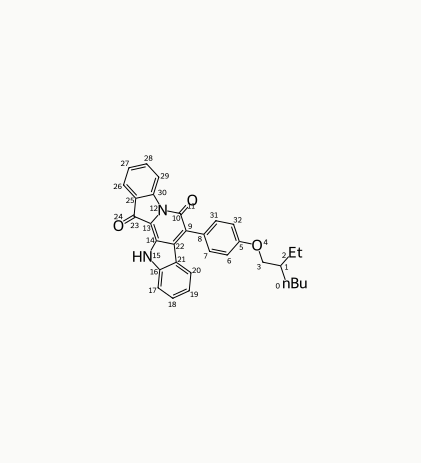 CCCCC(CC)COc1ccc(-c2c(=O)n3c(c4[nH]c5ccccc5c24)C(=O)c2ccccc2-3)cc1